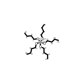 CCCC[O][W]([O]CCCC)([O]CCCC)([O]CCCC)[O]CCCC